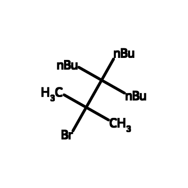 CCCCC(CCCC)(CCCC)C(C)(C)Br